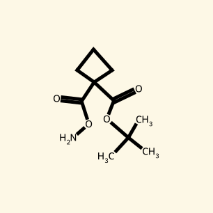 CC(C)(C)OC(=O)C1(C(=O)ON)CCC1